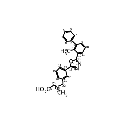 Cc1c(-c2ccccc2)cccc1-c1nnc(-c2cccc(CN(C)CC(=O)O)c2)o1